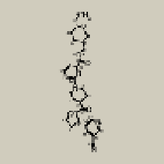 CCN1CCC(CNC(=O)c2ccnc(N3CCC(C(=O)N4OCC[C@H]4c4cncc(C#N)c4)CC3)n2)CC1